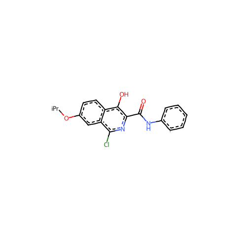 CC(C)Oc1ccc2c(O)c(C(=O)Nc3[c]cccc3)nc(Cl)c2c1